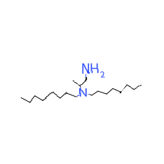 CCCCCCCCN(CCCCCCCC)C(C)CN